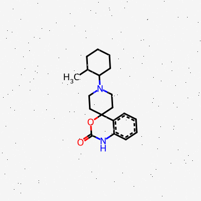 CC1CCCCC1N1CCC2(CC1)OC(=O)Nc1ccccc12